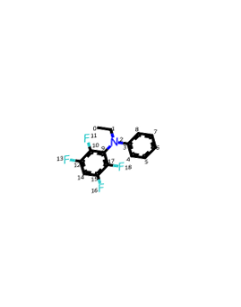 CCN(c1ccccc1)c1c(F)c(F)cc(F)c1F